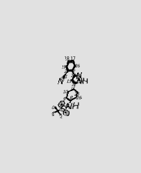 CC(C)(C)S(=O)(=O)N[C@H]1CC[C@H](c2cc(-c3ccccc3C#N)n[nH]2)CC1